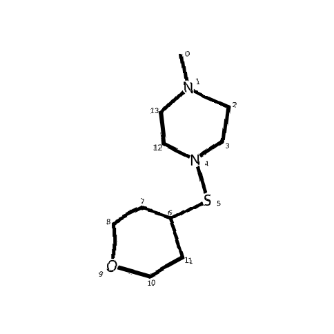 CN1CCN(SC2CCOCC2)CC1